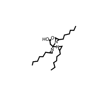 CCCCCCC1CN1C(CC(=O)O)(N1CC1CCCCCC)N1CC1CCCCCC